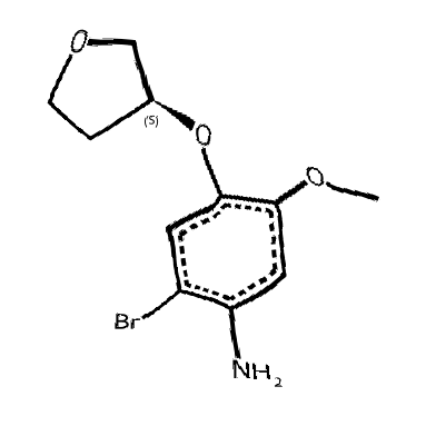 COc1cc(N)c(Br)cc1O[C@H]1CCOC1